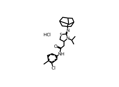 Cc1ccc(NC(=O)CC2CSC(=NC34CC5CC(CC(C5)C3)C4)N2C(C)C)cc1Cl.Cl